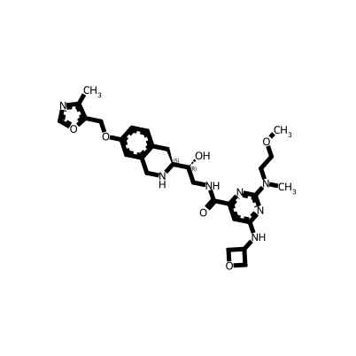 COCCN(C)c1nc(NC2COC2)cc(C(=O)NC[C@@H](O)[C@@H]2Cc3ccc(OCc4ocnc4C)cc3CN2)n1